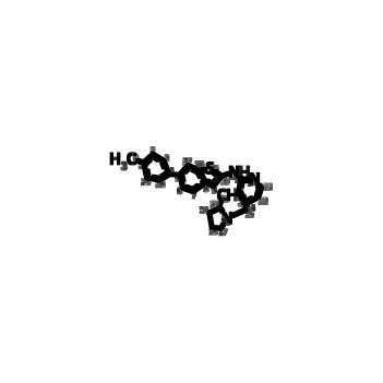 Cc1ccc(-c2ccc3cc(Nc4cc(CN5CCC[C@H]5C)ccn4)sc3c2)cc1